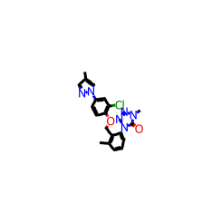 Cc1cnn(-c2ccc(OCc3c(C)cccc3-n3nnn(C)c3=O)c(Cl)c2)c1